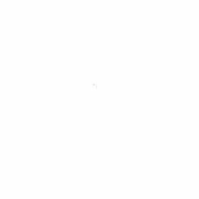 O=S1(=O)CCN(Cc2cccc(I)c2)CC1